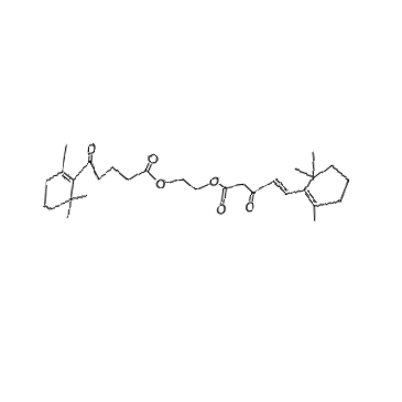 CC1=C(C=CC(=O)CC(=O)OCCOC(=O)CCCC(=O)C2=C(C)CCCC2(C)C)C(C)(C)CCC1